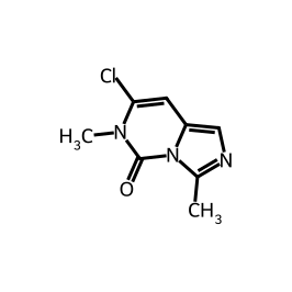 Cc1ncc2cc(Cl)n(C)c(=O)n12